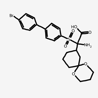 NC(C(=O)O)(C1CCCC2(C1)OCCCO2)S(=O)(=O)c1ccc(-c2ccc(Br)cc2)cc1